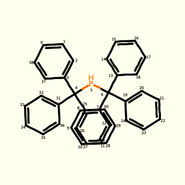 c1ccc(C(PC(c2ccccc2)(c2ccccc2)c2ccccc2)(c2ccccc2)c2ccccc2)cc1